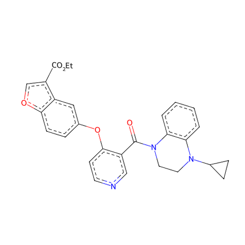 CCOC(=O)c1coc2ccc(Oc3ccncc3C(=O)N3CCN(C4CC4)c4ccccc43)cc12